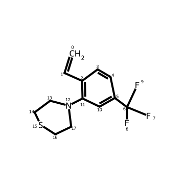 C=Cc1ccc(C(F)(F)F)cc1N1CCSCC1